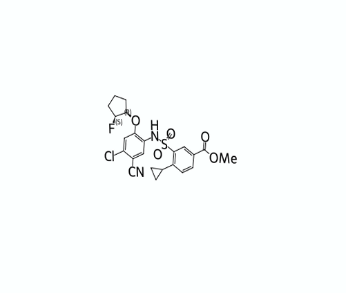 COC(=O)c1ccc(C2CC2)c(S(=O)(=O)Nc2cc(C#N)c(Cl)cc2O[C@@H]2CCC[C@@H]2F)c1